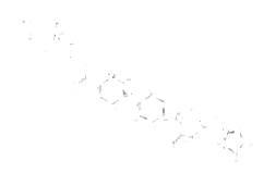 O=C(CCCN1CCOCC1)c1ccc(-c2ccc(N3C[C@H](Cn4ccnn4)OC3=O)cc2F)cn1